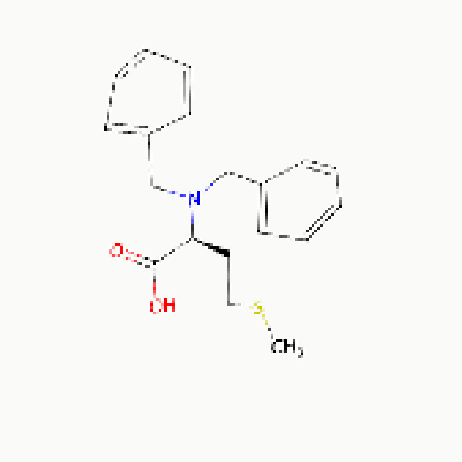 CSCC[C@@H](C(=O)O)N(Cc1ccccc1)Cc1ccccc1